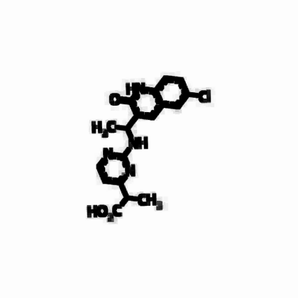 CC(Nc1nccc(C(C)C(=O)O)n1)c1cc2cc(Cl)ccc2[nH]c1=O